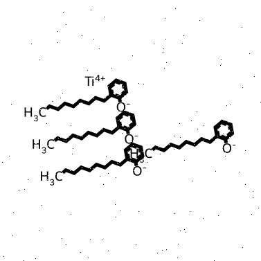 CCCCCCCCCc1ccccc1[O-].CCCCCCCCCc1ccccc1[O-].CCCCCCCCCc1ccccc1[O-].CCCCCCCCCc1ccccc1[O-].[Ti+4]